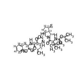 CCCC(NC(=O)[C@@H]1[C@H]2CCC(F)C2CN1C(=O)[C@@H](NC(=O)OC(C)C)C(C)(C)C)C(=O)C(=O)N[C@H](Cc1ccccc1)C(=O)O